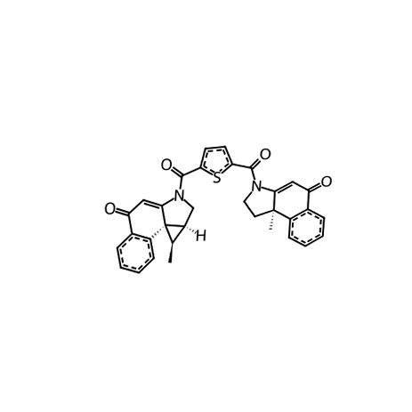 C[C@@H]1[C@@H]2CN(C(=O)c3ccc(C(=O)N4CC[C@@]5(C)C4=CC(=O)c4ccccc45)s3)C3=CC(=O)c4ccccc4[C@@]312